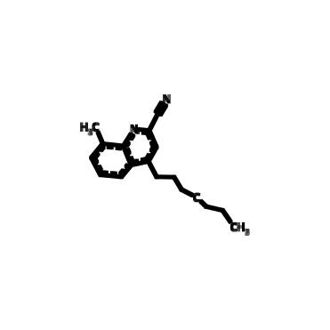 CCCCCCCc1cc(C#N)nc2c(C)cccc12